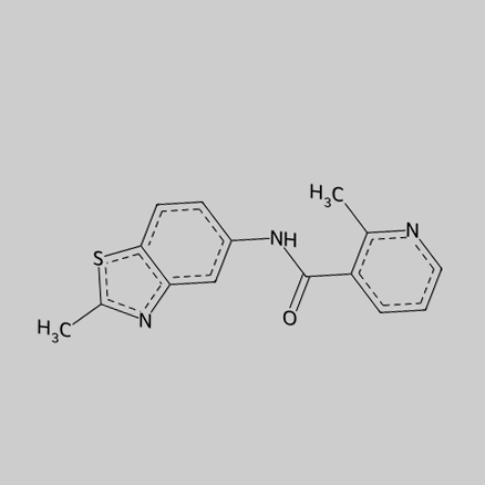 Cc1nc2cc(NC(=O)c3cccnc3C)ccc2s1